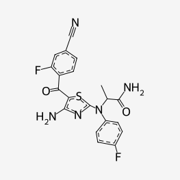 CC(C(N)=O)N(c1ccc(F)cc1)c1nc(N)c(C(=O)c2ccc(C#N)cc2F)s1